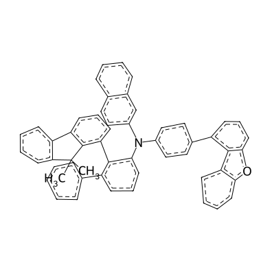 CC1(C)c2ccccc2-c2cccc(-c3c(-c4ccccc4)cccc3N(c3ccc(-c4cccc5oc6ccccc6c45)cc3)c3ccc4ccccc4c3)c21